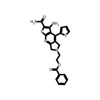 NC(=O)c1sc2nc3c(c(-c4cccs4)c2c1N)CN(CCOC(=O)c1ccccc1)C3